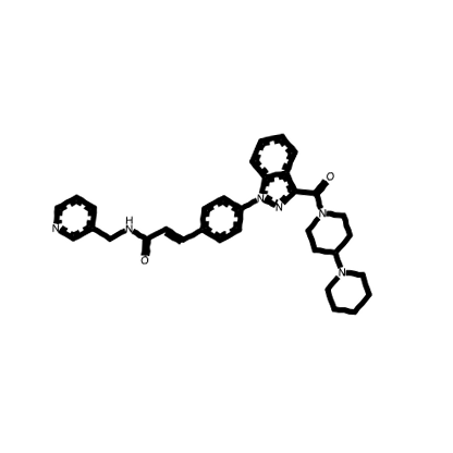 O=C(C=Cc1ccc(-n2nc(C(=O)N3CCC(N4CCCCC4)CC3)c3ccccc32)cc1)NCc1cccnc1